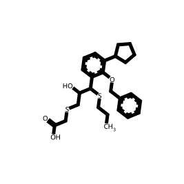 CCCSC(c1cccc(C2CCCC2)c1OCc1ccccc1)C(O)CSCC(=O)O